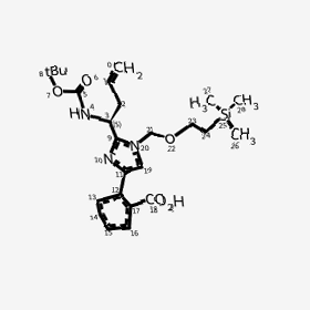 C=CC[C@H](NC(=O)OC(C)(C)C)c1nc(-c2ccccc2C(=O)O)cn1COCC[Si](C)(C)C